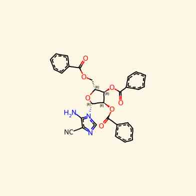 N#Cc1ncn([C@@H]2O[C@H](COC(=O)c3ccccc3)[C@@H](OC(=O)c3ccccc3)[C@H]2OC(=O)c2ccccc2)c1N